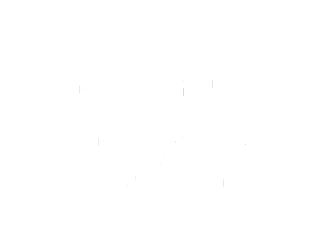 [CH2]=[Zr+2]([C]1=C(C)C=CC1C)[C]1=C(C)C(C)=C(C)C1C.[Cl-].[Cl-]